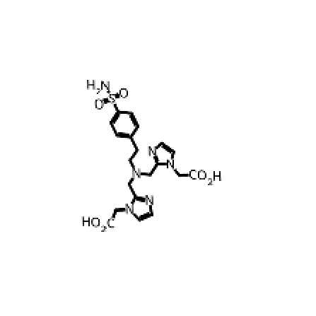 NS(=O)(=O)c1ccc(CCN(Cc2nccn2CC(=O)O)Cc2nccn2CC(=O)O)cc1